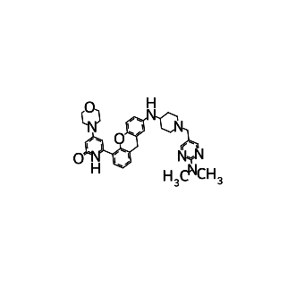 CN(C)c1ncc(CN2CCC(Nc3ccc4c(c3)Cc3cccc(-c5cc(N6CCOCC6)cc(=O)[nH]5)c3O4)CC2)cn1